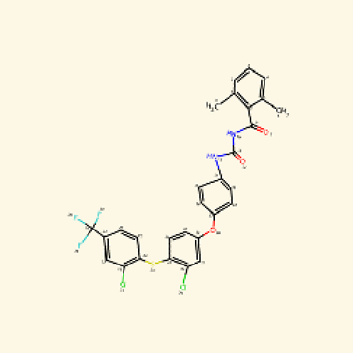 Cc1cccc(C)c1C(=O)NC(=O)Nc1ccc(Oc2ccc(Sc3ccc(C(F)(F)F)cc3Cl)c(Cl)c2)cc1